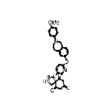 COc1ccc(N2CCc3cc(Oc4ccc(N5NNCC56C(=O)CC(=O)CC6=O)cn4)ccc3C2)cc1